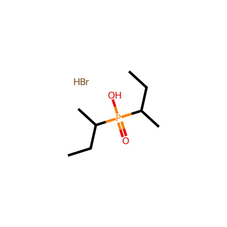 Br.CCC(C)P(=O)(O)C(C)CC